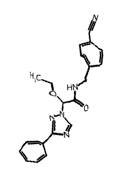 CCOC(C(=O)NCc1ccc(C#N)cc1)n1cnc(-c2ccccc2)n1